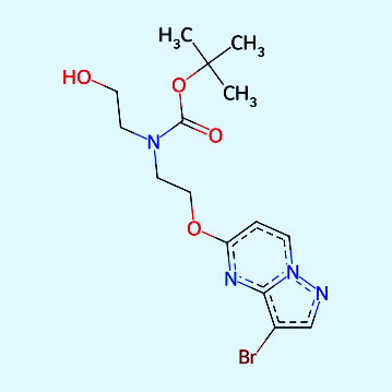 CC(C)(C)OC(=O)N(CCO)CCOc1ccn2ncc(Br)c2n1